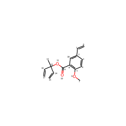 C=Cc1ccc(OC)c(C(=O)OC(C)(C=C)C=C)c1